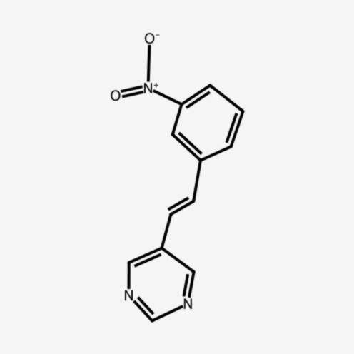 O=[N+]([O-])c1cccc(C=Cc2cncnc2)c1